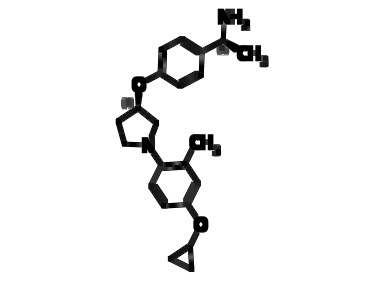 Cc1cc(OC2CC2)ccc1N1CC[C@@H](Oc2ccc([C@H](C)N)cc2)C1